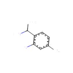 CCOC(=O)C(N)c1ccc(C#N)cc1N